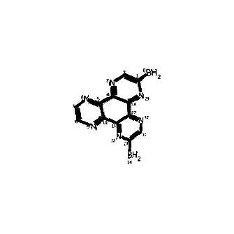 Bc1cnc2c3nccnc3c3nc(B)cnc3c2n1